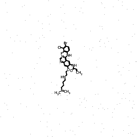 C=CC(=O)Nc1cc2c(Nc3ccc(Br)c(Cl)c3F)ncnc2cc1OCCNCCCCN(C)C